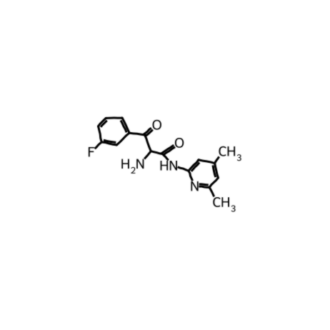 Cc1cc(C)nc(NC(=O)C(N)C(=O)c2cccc(F)c2)c1